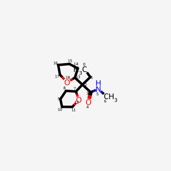 CCC(C(=O)NC)(C1CCCCO1)C1CCCCO1